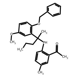 CCCC(C)(Pc1ccc(C)cc1C(C)=O)c1cc(OC)ccc1OCc1ccccc1